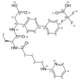 CC[C@H](NC(=O)CCCCNc1ccccn1)C(=O)NC(CC(=O)O)c1ccc(-c2ccccc2)cc1.O=C(O)C(F)(F)F